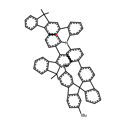 CC(C)(C)c1ccc2c(c1)C1(c3ccccc3-c3ccc(-c4ccc(N(c5ccccc5-c5ccc6c(c5)C(C)(C)c5ccccc5-6)c5ccccc5-c5cccc6c5-c5ccccc5C6(C)C)cc4)cc31)c1cc(C(C)(C)C)ccc1-2